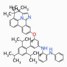 CC(C)c1cc(C(C)C)c(-c2cc(Nc3ccccc3Nc3ccccc3)cc(Oc3ccc4c(c3)c3ncc5n3c3c(cccc43)C(C)(C)C5(C)C)c2)c(C(C)C)c1